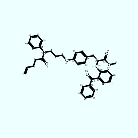 C=CCCC(=O)N(CCCOc1ccc(C[C@H](Nc2ccccc2C(=O)c2ccccc2)C(=O)OC)cc1)c1ccccc1